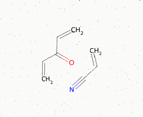 C=CC#N.C=CC(=O)C=C